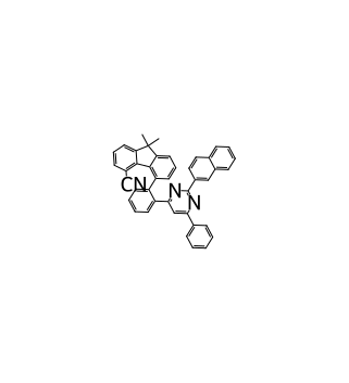 CC1(C)c2cccc(C#N)c2-c2c(-c3ccccc3-c3cc(-c4ccccc4)nc(-c4ccc5ccccc5c4)n3)cccc21